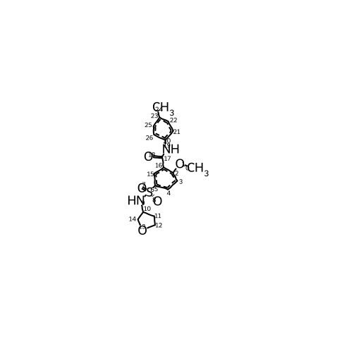 COc1ccc(S(=O)(=O)NC2CCOC2)cc1C(=O)Nc1ccc(C)cc1